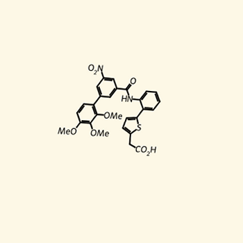 COc1ccc(-c2cc(C(=O)Nc3ccccc3-c3ccc(CC(=O)O)s3)cc([N+](=O)[O-])c2)c(OC)c1OC